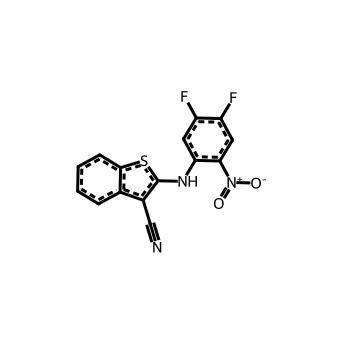 N#Cc1c(Nc2cc(F)c(F)cc2[N+](=O)[O-])sc2ccccc12